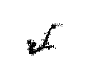 CC[C@@]1(OC(=O)OCc2ccc(NC(=O)[C@H](CCCNC(N)=O)NC(=O)COCC(=O)NCCOCCNC(=O)CCCC#Cc3cnc(SC)nc3)cc2)C(=O)OCc2c1cc1n(c2=O)Cc2c-1nc1ccccc1c2CCN(C(C)C)S(C)(=O)=O